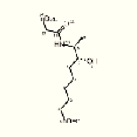 CCCCCCCCCCCCCCC[C@@H](O)[C@H](C)NC(=O)CCCCCCCCCCC